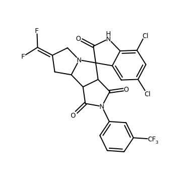 O=C1C2C3CC(=C(F)F)CN3C3(C(=O)Nc4c(Cl)cc(Cl)cc43)C2C(=O)N1c1cccc(C(F)(F)F)c1